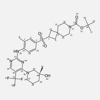 Cc1cc(S(=O)(=O)C2CC3(CCN(C(=O)OC(C)(C)C)CC3)C2)ccc1Nc1ncc(C(F)(F)F)c(N2CCC[C@@](C)(O)C2)n1